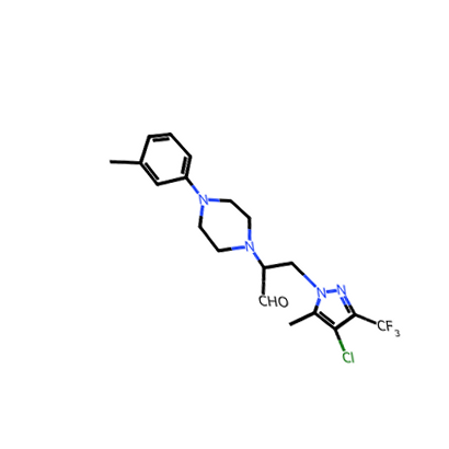 Cc1cccc(N2CCN(C(C=O)Cn3nc(C(F)(F)F)c(Cl)c3C)CC2)c1